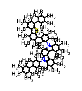 Bc1c(B)c(B)c(-c2c(B)c(B)c(-n3c4c(B)c(B)c(B)c(B)c4c4c5c6c(B)c(B)c(B)c(B)c6n(-c6c(B)c(B)c(B)c(-c7c(B)c(B)c(B)c8c7sc7c(-c9c(B)c(B)c(B)c(B)c9B)c(B)c(B)c(B)c78)c6B)c5c(B)c(B)c43)c(B)c2B)c(B)c1B